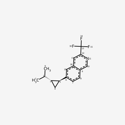 CC(C)[C@H]1C[C@@H]1c1ccc2cnc(C(F)(F)F)cc2c1